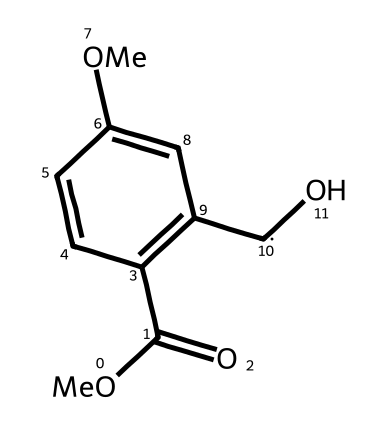 COC(=O)c1ccc(OC)cc1[CH]O